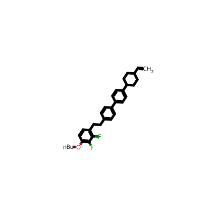 C=CC1CCC(c2ccc(-c3ccc(CCc4ccc(OCCCC)c(F)c4F)cc3)cc2)CC1